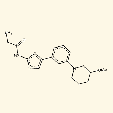 COC1CCCN(c2cccc(-c3csc(NC(=O)CN)n3)c2)C1